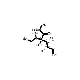 CC(C)C(=O)[C@@](O)([C@H](O)CO)[C@H](O)[C@@H](O)C=O